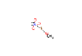 COCCCSCC(=O)N1C(=O)CCC1=O